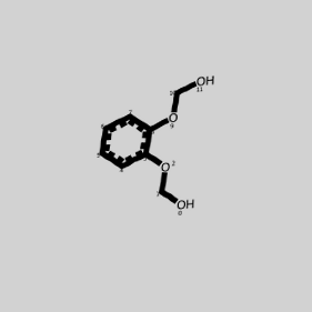 OCOc1ccccc1OCO